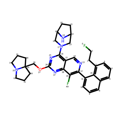 FCCc1cccc2cccc(-c3ncc4c(N5CC6CCC(C5)N6)nc(OCC56CCCN5CCC6)nc4c3F)c12